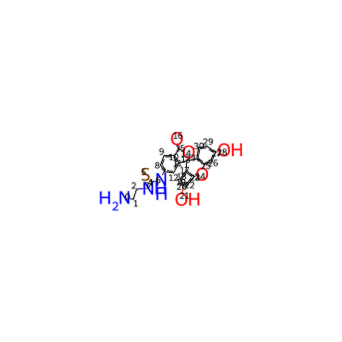 NCCNC(=S)Nc1ccc2c(c1)C1(OC2=O)c2ccc(O)cc2Oc2cc(O)ccc21